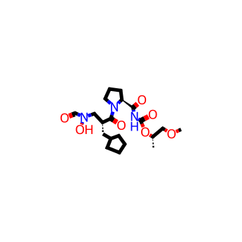 COC[C@H](C)OC(=O)NC(=O)[C@@H]1CCCN1C(=O)[C@H](CC1CCCC1)CN(O)C=O